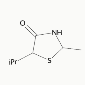 CC1NC(=O)C(C(C)C)S1